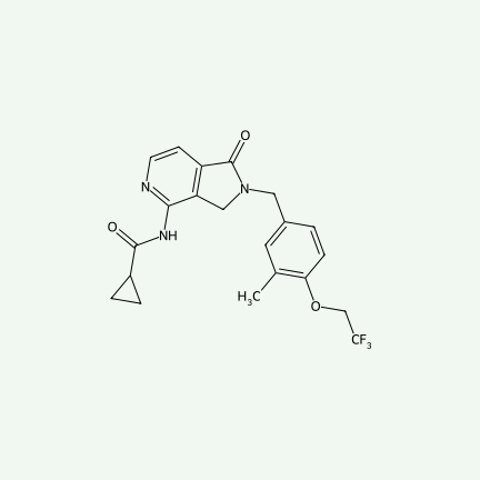 Cc1cc(CN2Cc3c(ccnc3NC(=O)C3CC3)C2=O)ccc1OCC(F)(F)F